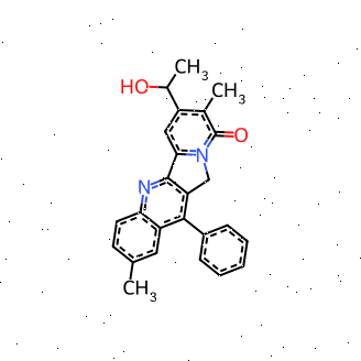 Cc1ccc2nc3c(c(-c4ccccc4)c2c1)Cn1c-3cc(C(C)O)c(C)c1=O